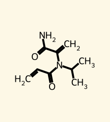 C=CC(=O)N(C(=C)C(N)=O)C(C)C